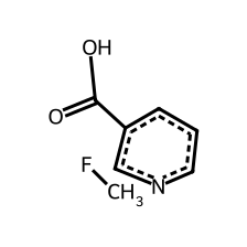 CF.O=C(O)c1cccnc1